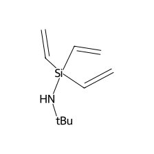 C=C[Si](C=C)(C=C)NC(C)(C)C